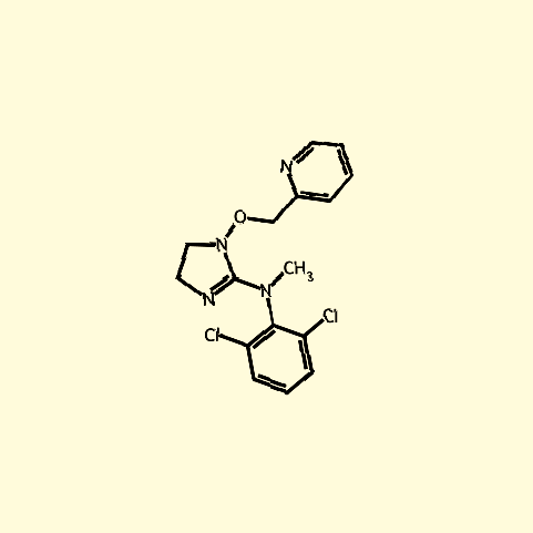 CN(C1=NCCN1OCc1ccccn1)c1c(Cl)cccc1Cl